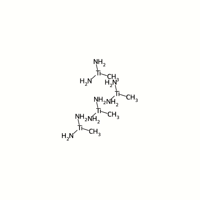 [CH3][Ti]([NH2])[NH2].[CH3][Ti]([NH2])[NH2].[CH3][Ti]([NH2])[NH2].[CH3][Ti]([NH2])[NH2]